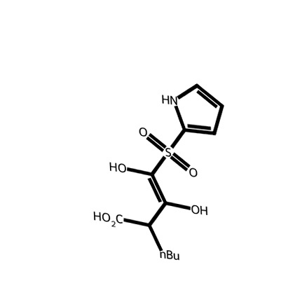 CCCCC(C(=O)O)C(O)=C(O)S(=O)(=O)c1ccc[nH]1